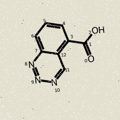 O=C(O)c1cccc2nnncc12